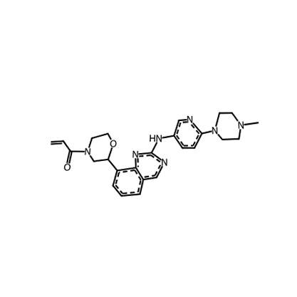 C=CC(=O)N1CCOC(c2cccc3cnc(Nc4ccc(N5CCN(C)CC5)nc4)nc23)C1